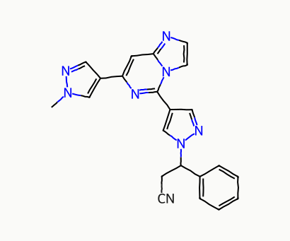 Cn1cc(-c2cc3nccn3c(-c3cnn(C(CC#N)c4ccccc4)c3)n2)cn1